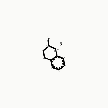 CC(C)N1CCc2ccccc2[C@H]1C